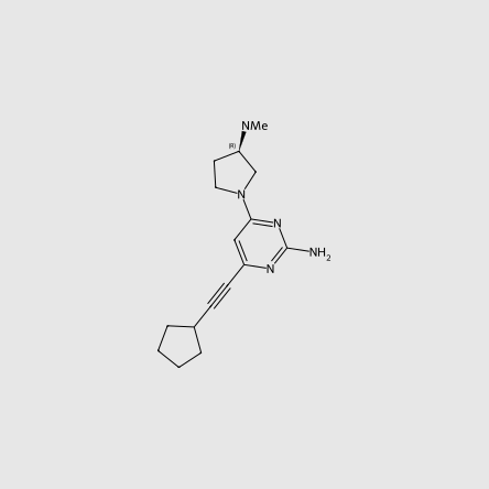 CN[C@@H]1CCN(c2cc(C#CC3CCCC3)nc(N)n2)C1